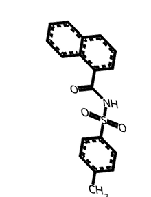 Cc1ccc(S(=O)(=O)NC(=O)c2cccc3ccccc23)cc1